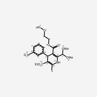 CCCOCCOC(=O)C1=C(C(OC)OC)NC(C)=C(C(=O)OCC)C1c1cccc([N+](=O)[O-])c1